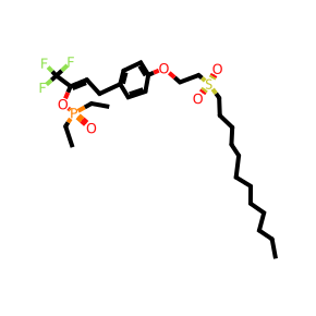 CCCCCCCCCCCCS(=O)(=O)CCOc1ccc(C/C=C(\OP(=O)(CC)CC)C(F)(F)F)cc1